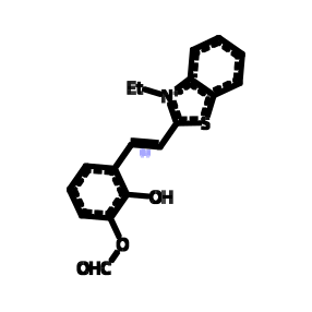 CC[n+]1c(/C=C/c2cccc(OC=O)c2O)sc2ccccc21